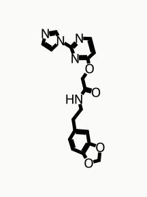 O=C(COc1ccnc(-n2ccnc2)n1)NCCc1ccc2c(c1)OCO2